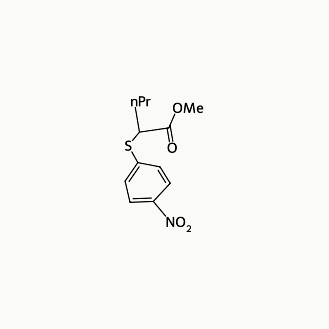 CCCC(Sc1ccc([N+](=O)[O-])cc1)C(=O)OC